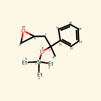 CC[Si](CC)(CC)OC(C)(CC1CO1)c1ccccc1